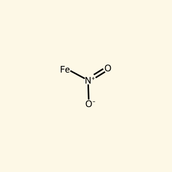 O=[N+]([O-])[Fe]